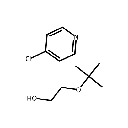 CC(C)(C)OCCO.Clc1ccncc1